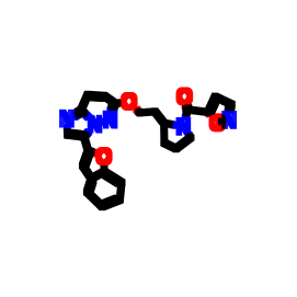 O=C(c1ccno1)N1CCCC1CCOc1ccc2ncc(-c3cc4ccccc4o3)n2n1